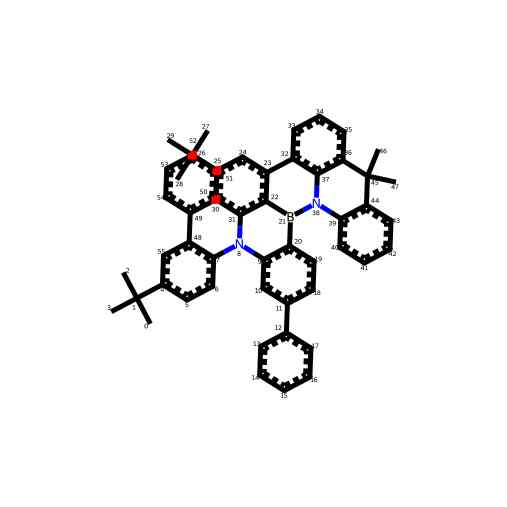 CC(C)(C)c1ccc(N2c3cc(-c4ccccc4)ccc3B3c4c(cc(C(C)(C)C)cc42)-c2cccc4c2N3c2ccccc2C4(C)C)c(-c2ccccc2)c1